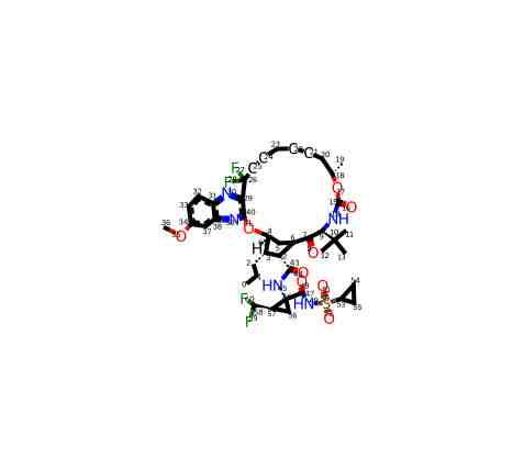 CCC[C@@H]1[C@@H]2CC(C(=O)[C@H](C(C)(C)C)NC(=O)O[C@@H](C)CCCCCCC(F)(F)c3nc4ccc(OC)cc4nc3O2)[C@@H]1C(=O)N[C@]1(C(=O)NS(=O)(=O)C2CC2)C[C@H]1C(F)F